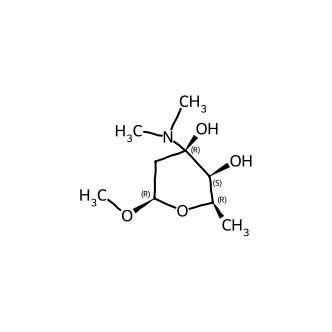 CO[C@H]1C[C@](O)(N(C)C)[C@@H](O)[C@@H](C)O1